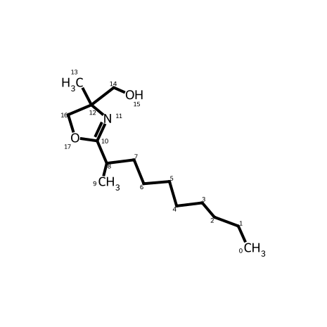 CCCCCCCCC(C)C1=NC(C)(CO)CO1